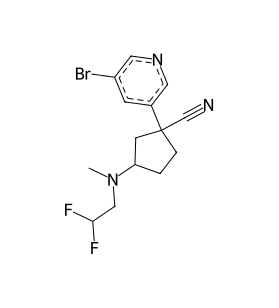 CN(CC(F)F)C1CCC(C#N)(c2cncc(Br)c2)C1